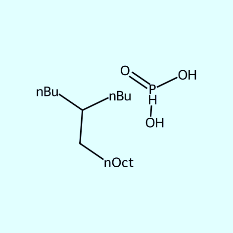 CCCCCCCCCC(CCCC)CCCC.O=[PH](O)O